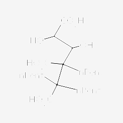 CCCCCC(CCCCC)(C(=O)O)C(CCCCC)(C(=O)O)C(O)C(O)C(=O)O